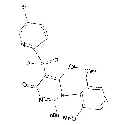 CCCCc1nc(=O)c(S(=O)(=O)c2ccc(Br)cn2)c(O)n1-c1c(OC)cccc1OC